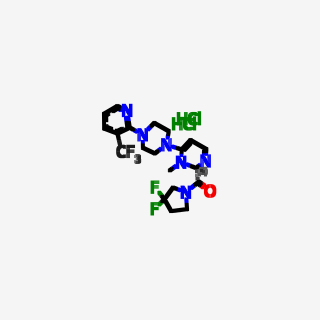 CN1C(N2CCN(c3ncccc3C(F)(F)F)CC2)=CC=N[C@@H]1C(=O)N1CCC(F)(F)C1.Cl.Cl